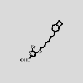 O=Cc1cc(OCCCCCCc2ccc3c(c2)CC3)c(Br)s1